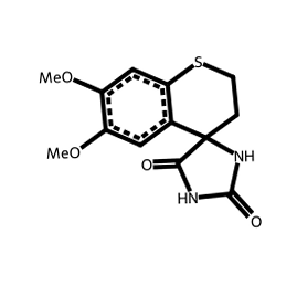 COc1cc2c(cc1OC)C1(CCS2)NC(=O)NC1=O